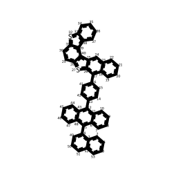 c1ccc2c(-c3c4ccccc4c(-c4ccc(-c5c6ccccc6cc6c5sc5ccc7sc8ccccc8c7c56)cc4)c4ccccc34)cccc2c1